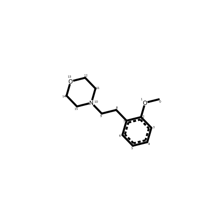 COc1ccccc1CCN1CCOCC1